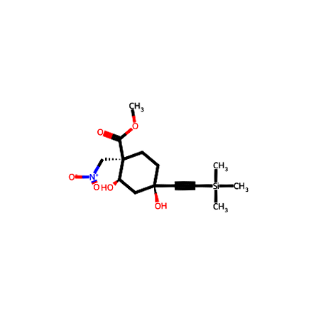 COC(=O)[C@@]1(C[N+](=O)[O-])CC[C@](O)(C#C[Si](C)(C)C)C[C@H]1O